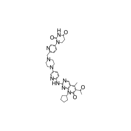 CC(=O)c1c(C)c2cnc(Nc3ccc(N4CCN(Cc5ccc(N6CCC(=O)NC6=O)cn5)CC4)cn3)nc2n(C2CCCC2)c1=O